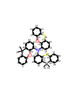 CC1(C)c2ccccc2Oc2c(N(c3cccc4c3Oc3ccccc3S4)c3cccc4c3Sc3ccccc3[Si]4(C)C)cccc21